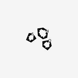 c1ccncc1.c1ccoc1.c1ccsc1